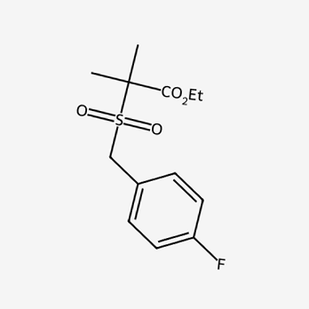 CCOC(=O)C(C)(C)S(=O)(=O)Cc1ccc(F)cc1